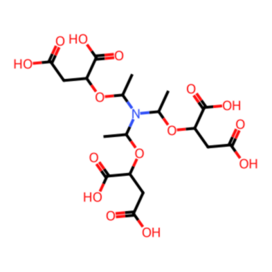 CC(OC(CC(=O)O)C(=O)O)N(C(C)OC(CC(=O)O)C(=O)O)C(C)OC(CC(=O)O)C(=O)O